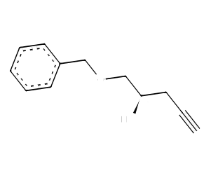 C#CC[C@@H](O)COCc1ccccc1